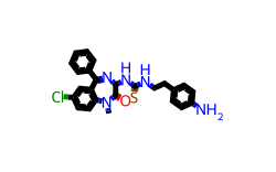 CN1C(=O)C(NC(=S)NCCc2ccc(N)cc2)N=C(c2ccccc2)c2cc(Cl)ccc21